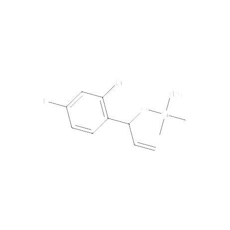 C=CC(O[Si](C)(C)C(C)(C)C)c1ccc(F)cc1Br